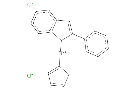 C1=CC[C]([Ti+2][CH]2C(c3ccccc3)=Cc3ccccc32)=C1.[Cl-].[Cl-]